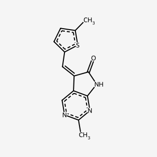 Cc1ncc2c(n1)NC(=O)C2=Cc1ccc(C)s1